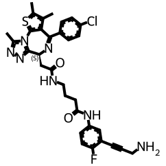 Cc1sc2c(c1C)C(c1ccc(Cl)cc1)=N[C@@H](CC(=O)NCCCC(=O)Nc1ccc(F)c(C#CCN)c1)c1nnc(C)n1-2